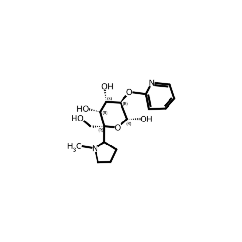 CN1CCCC1[C@]1(CO)O[C@@H](O)[C@H](Oc2ccccn2)[C@@H](O)[C@H]1O